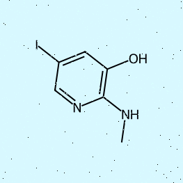 CNc1ncc(I)cc1O